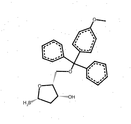 B[C@H]1C[C@@H](O)[C@@H](COC(c2ccccc2)(c2ccccc2)c2ccc(OC)cc2)O1